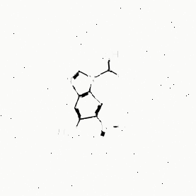 Cc1cc2ncn(C(C)C)c2cc1[N+](=O)[O-]